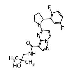 CC(C)(O)CNC(=O)c1cnn2ccc(N3CCCC3c3cc(F)ccc3F)nc12